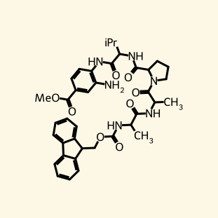 COC(=O)c1ccc(NC(=O)C(NC(=O)C2CCCN2C(=O)C(C)NC(=O)C(C)NC(=O)OCC2c3ccccc3-c3ccccc32)C(C)C)c(N)c1